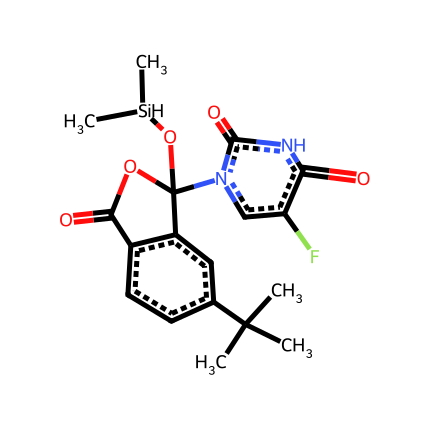 C[SiH](C)OC1(n2cc(F)c(=O)[nH]c2=O)OC(=O)c2ccc(C(C)(C)C)cc21